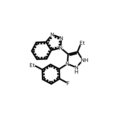 CCC1=C(n2nnc3ccccc32)N(c2cc(CC)ccc2F)NN1